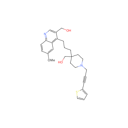 COc1ccc2ncc(CO)c(CCCC3(CO)CCN(CC#Cc4cccs4)CC3)c2c1